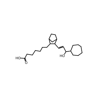 O=C(O)CCCCCCC1C2CCC(C2)C1C=CC(O)C1CCCCCC1